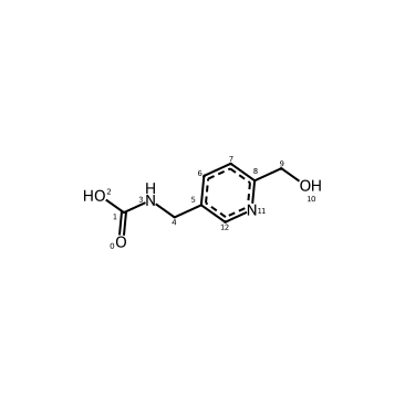 O=C(O)NCc1ccc(CO)nc1